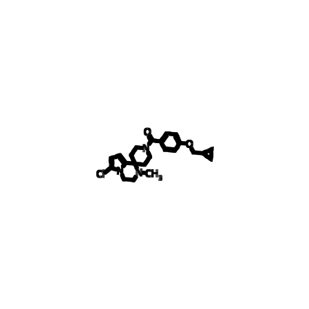 CN1CCn2c(Cl)ccc2C12CCN(C(=O)c1ccc(OCC3CC3)cc1)CC2